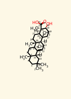 CC1(C)CC[C@]2(C)CC[C@]3(C)C(=CC[C@@H]4[C@@]5(C)CC[C@H](O)[C@](C)(C(=O)O)[C@@H]5CC[C@]43C)[C@@H]2C1